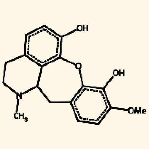 COc1ccc2c(c1O)Oc1c(O)ccc3c1C(C2)N(C)CC3